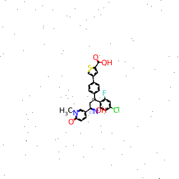 Cn1cc(/C(C[C@@H](c2ccc(-c3csc(C(=O)O)c3)cc2)c2ccc(Cl)cc2F)=N/O)ccc1=O